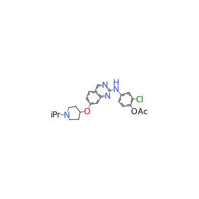 CC(=O)Oc1ccc(Nc2ncc3ccc(OC4CCN(C(C)C)CC4)cc3n2)cc1Cl